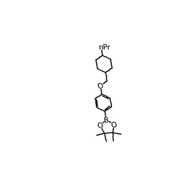 CCCC1CCC(COc2ccc(B3OC(C)(C)C(C)(C)O3)cc2)CC1